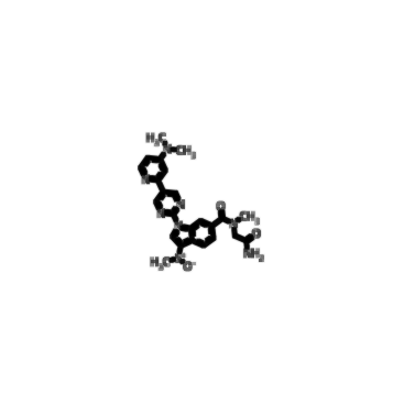 CN(CC(N)=O)C(=O)c1ccc2c([S+](C)[O-])cn(-c3ncc(-c4cc(N(C)C)ccn4)cn3)c2c1